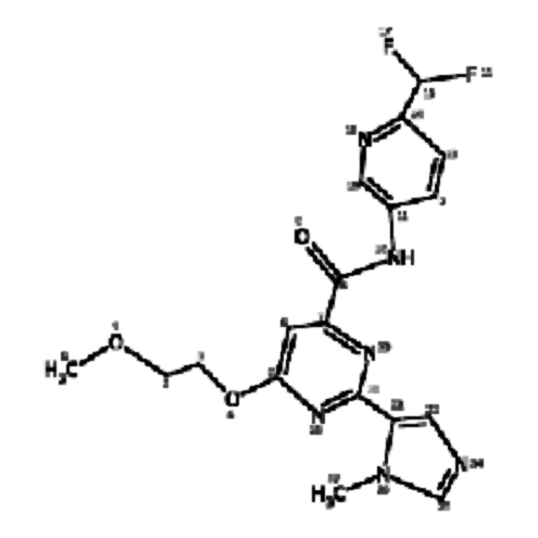 COCCOc1cc(C(=O)Nc2ccc(C(F)F)nc2)nc(-c2cncn2C)n1